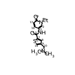 CCn1cc(NC(=O)c2cc(CN(C)C)cs2)ccc1=O